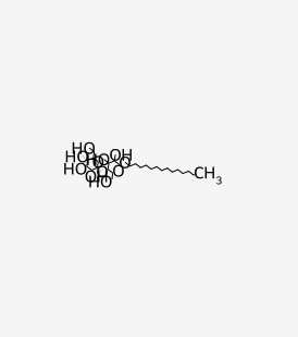 CCCCCCCCCCCCCCO[C@@H]1OC(CO)[C@@H](O[C@H]2OC(CO)[C@@H](O)C(O)C2O)C(O)C1O